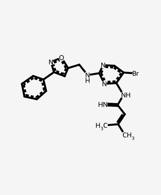 CC(C)=CC(=N)Nc1nc(NCc2cc(-c3ccccc3)no2)ncc1Br